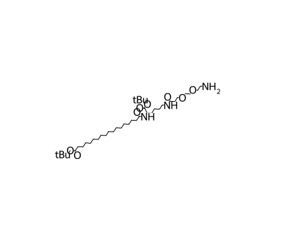 CC(C)(C)OC(=O)CCCCCCCCCCCCCCCCC(=O)N[C@@H](CCCCNC(=O)CCOCCOCCN)C(=O)OC(C)(C)C